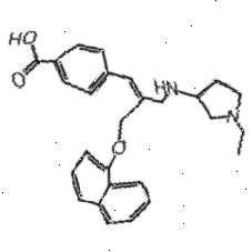 CCN1CCC(NC/C(=C/c2ccc(C(=O)O)cc2)COc2cccc3ccccc23)C1